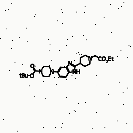 CCOC(=O)CN1CCC(c2nc3cc(N4CCN(C(=O)OC(C)(C)C)CC4)ccc3[nH]2)CC1